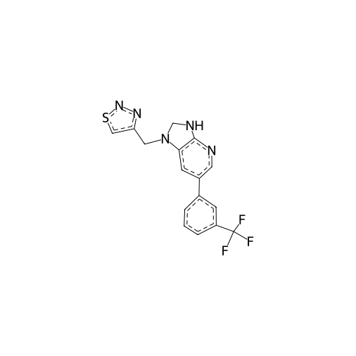 FC(F)(F)c1cccc(-c2cnc3c(c2)N(Cc2csnn2)CN3)c1